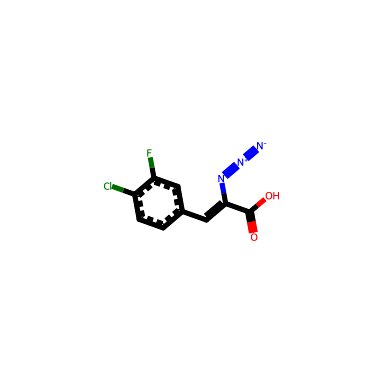 [N-]=[N+]=N/C(=C\c1ccc(Cl)c(F)c1)C(=O)O